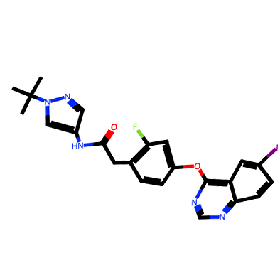 CC(C)(C)n1cc(NC(=O)Cc2ccc(Oc3ncnc4ccc(I)cc34)cc2F)cn1